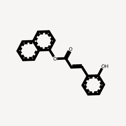 O=C(/C=C/c1ccccc1O)Oc1cccc2ccccc12